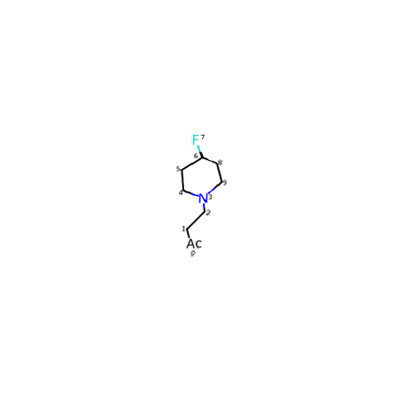 CC(=O)CCN1CCC(F)CC1